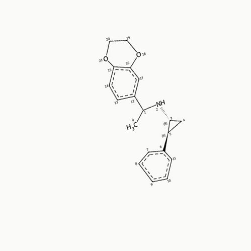 CC(N[C@@H]1C[C@H]1c1ccccc1)c1ccc2c(c1)OCCO2